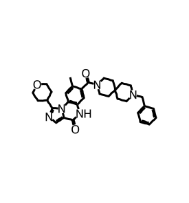 Cc1cc2c(cc1C(=O)N1CCC3(CCN(Cc4ccccc4)CC3)CC1)[nH]c(=O)c1cnc(C3CCOCC3)n12